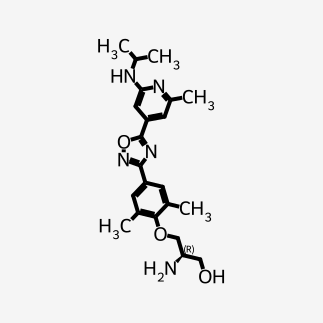 Cc1cc(-c2nc(-c3cc(C)c(OC[C@H](N)CO)c(C)c3)no2)cc(NC(C)C)n1